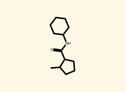 CC1CCCC1C(=O)NC1CCCCC1